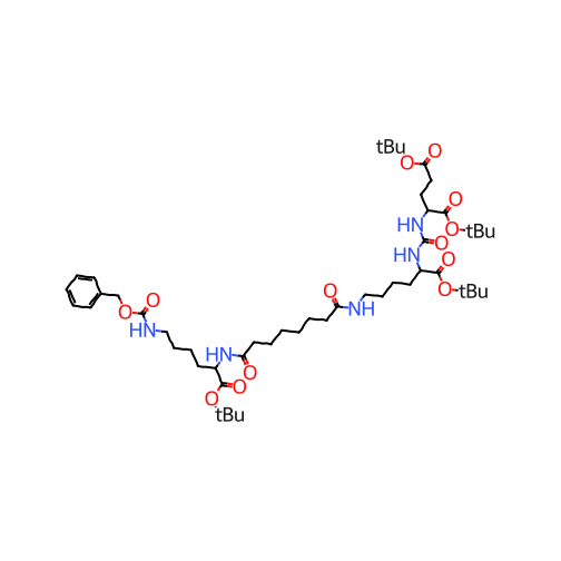 CC(C)(C)OC(=O)CCC(NC(=O)NC(CCCCNC(=O)CCCCCCC(=O)NC(CCCCNC(=O)OCc1ccccc1)C(=O)OC(C)(C)C)C(=O)OC(C)(C)C)C(=O)OC(C)(C)C